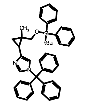 CC1(CO[Si](c2ccccc2)(c2ccccc2)C(C)(C)C)CC1c1cn(C(c2ccccc2)(c2ccccc2)c2ccccc2)cn1